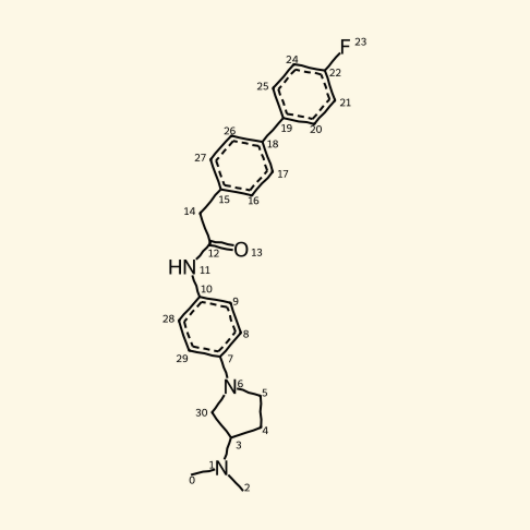 CN(C)C1CCN(c2ccc(NC(=O)Cc3ccc(-c4ccc(F)cc4)cc3)cc2)C1